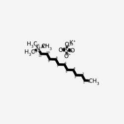 CCCCCCCCCCCC[N+](C)(C)C.O=S(=O)([O-])[O-].[K+]